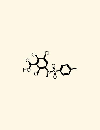 Cc1ccc(S(=O)(=O)N(C)c2cc(Cl)c(Cl)c(C(=O)O)c2Cl)cc1